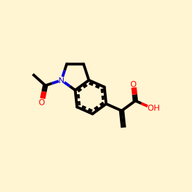 C=C(C(=O)O)c1ccc2c(c1)CCN2C(C)=O